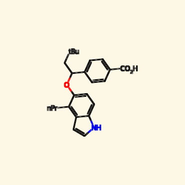 CCCc1c(OC(CC(C)(C)C)c2ccc(C(=O)O)cc2)ccc2[nH]ccc12